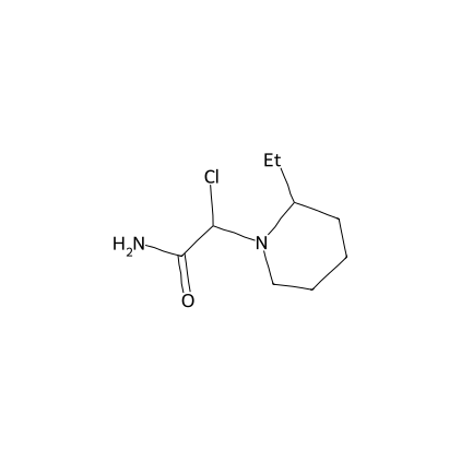 CCC1CCCCN1C(Cl)C(N)=O